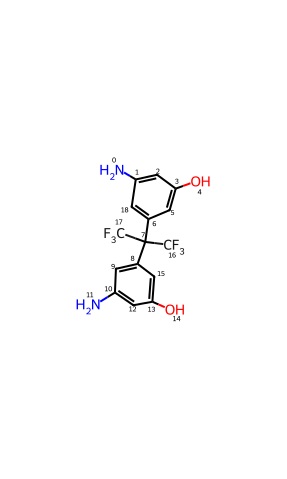 Nc1cc(O)cc(C(c2cc(N)cc(O)c2)(C(F)(F)F)C(F)(F)F)c1